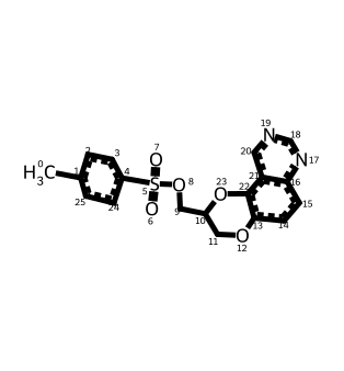 Cc1ccc(S(=O)(=O)OCC2COc3ccc4ncncc4c3O2)cc1